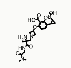 CN(C)C(=O)CNC(=O)C(C)(N)CN1CC(Oc2ccc3c(c2C(=O)O)OB(O)C2CC32)C1